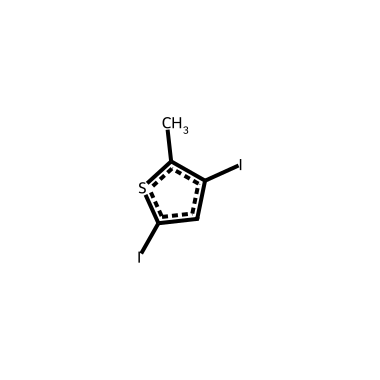 Cc1sc(I)cc1I